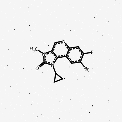 Cn1c(=O)n(C2CC2)c2c3cc(Br)c(F)cc3ncc21